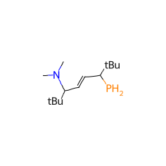 CN(C)C(C=CC(P)C(C)(C)C)C(C)(C)C